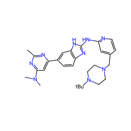 Cc1nc(-c2ccc3nc(Nc4cc(CN5CCN(C(C)(C)C)CC5)ccn4)[nH]c3c2)cc(N(C)C)n1